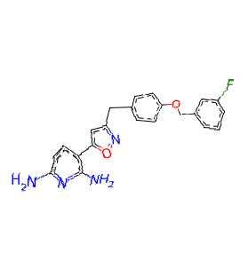 Nc1ccc(-c2cc(Cc3ccc(OCc4cccc(F)c4)cc3)no2)c(N)n1